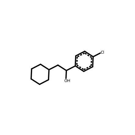 OC(CC1CCCCC1)c1ccc(Cl)cc1